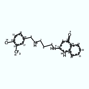 O=c1cc(NCCCNCc2ccc(Cl)c(C(F)(F)F)c2)[nH]c2ccccc12